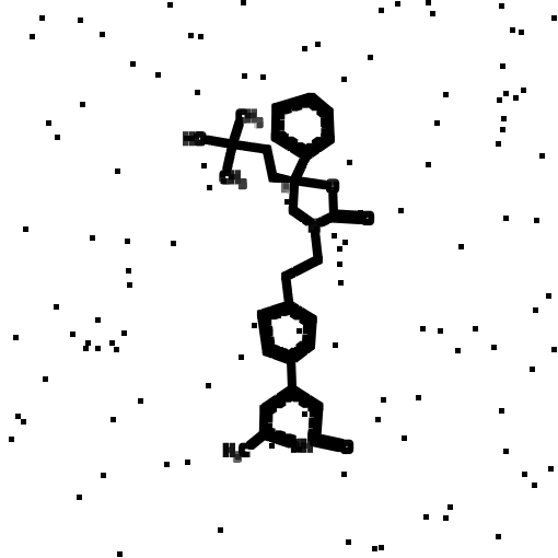 Cc1cc(-c2ccc(CCN3C[C@](CCC(C)(C)O)(c4ccccc4)OC3=O)cc2)cc(=O)[nH]1